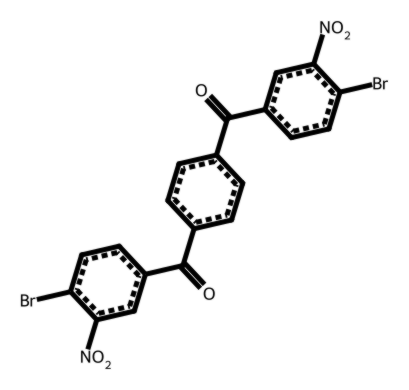 O=C(c1ccc(C(=O)c2ccc(Br)c([N+](=O)[O-])c2)cc1)c1ccc(Br)c([N+](=O)[O-])c1